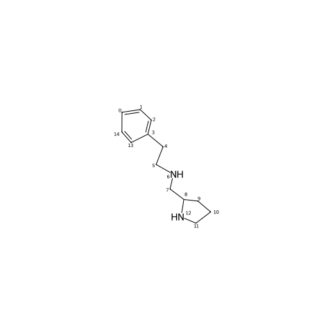 c1ccc(CCNCC2CCCN2)cc1